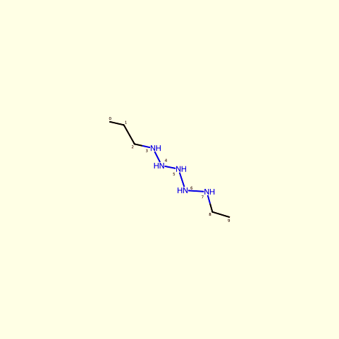 CCCNNNNNCC